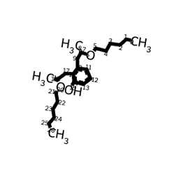 CCCCCCOC(C)Cc1cccc(O)c1CC(C)OCCCCCC